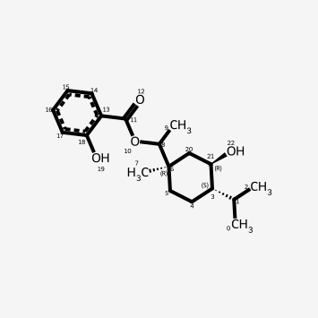 CC(C)[C@@H]1CC[C@@](C)(C(C)OC(=O)c2ccccc2O)C[C@H]1O